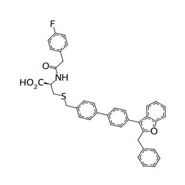 O=C(Cc1ccc(F)cc1)N[C@@H](CSCc1ccc(-c2ccc(-c3c(Cc4ccccc4)oc4ccccc34)cc2)cc1)C(=O)O